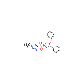 Cn1cnc(S(=O)(=O)N2CC(Oc3ccccc3)C(c3ccccc3)C2)c1